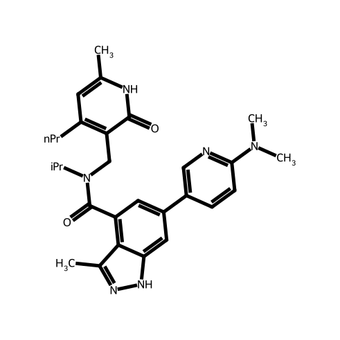 CCCc1cc(C)[nH]c(=O)c1CN(C(=O)c1cc(-c2ccc(N(C)C)nc2)cc2[nH]nc(C)c12)C(C)C